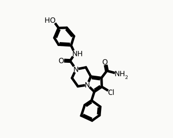 NC(=O)c1c(Cl)c(-c2ccccc2)n2c1CN(C(=O)Nc1ccc(O)cc1)CC2